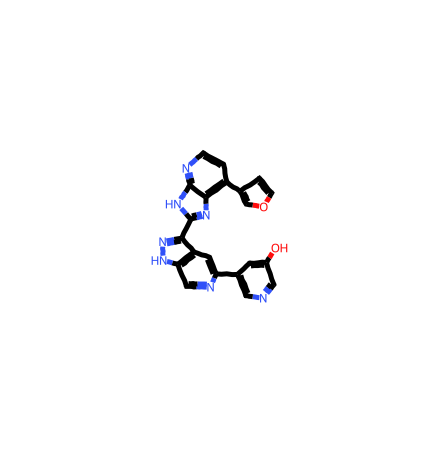 Oc1cncc(-c2cc3c(-c4nc5c(-c6ccoc6)ccnc5[nH]4)n[nH]c3cn2)c1